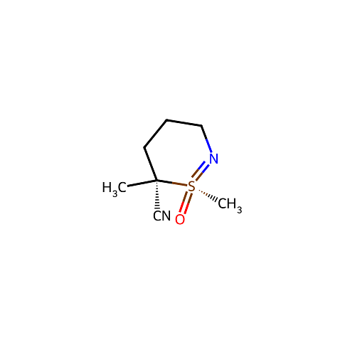 C[C@@]1(C#N)CCCN=[S@@]1(C)=O